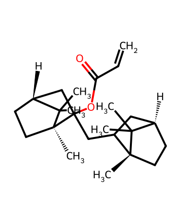 C=CC(=O)OC1(CC2C[C@H]3CC[C@@]2(C)C3(C)C)C[C@H]2CC[C@@]1(C)C2(C)C